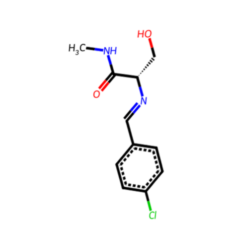 CNC(=O)[C@H](CO)/N=C/c1ccc(Cl)cc1